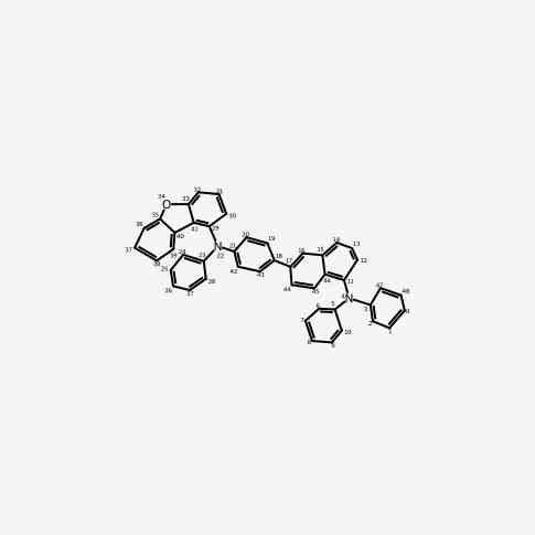 c1ccc(N(c2ccccc2)c2cccc3cc(-c4ccc(N(c5ccccc5)c5cccc6oc7ccccc7c56)cc4)ccc23)cc1